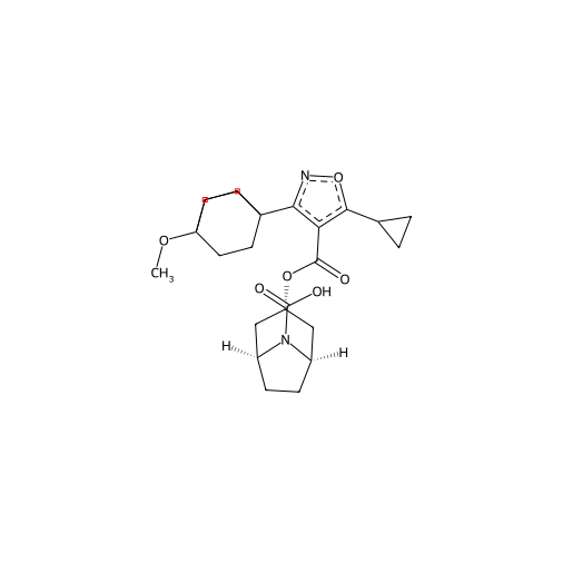 COC12CCC(c3noc(C4CC4)c3C(=O)O[C@@H]3C[C@H]4CC[C@@H](C3)N4C(=O)O)(CC1)CC2